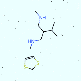 C1=CSCS1.CNCC(CNC)C(C)C